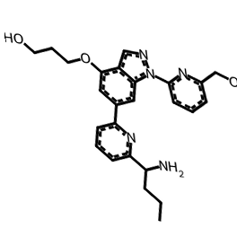 CCCC(N)c1cccc(-c2cc(OCCCO)c3cnn(-c4cccc(CO)n4)c3c2)n1